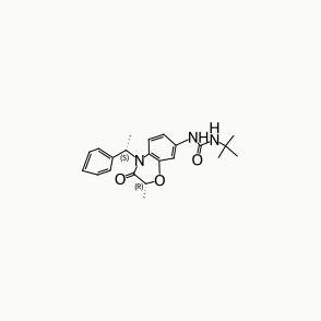 C[C@H]1Oc2cc(NC(=O)NC(C)(C)C)ccc2N([C@@H](C)c2ccccc2)C1=O